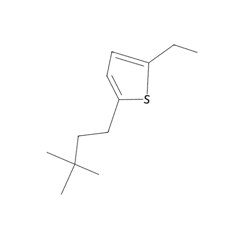 CCc1ccc(CCC(C)(C)C)s1